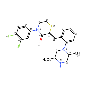 CC1CN(c2ccccc2C=C2SCCN(c3ccc(F)c(F)c3)C2=O)C(C)CN1